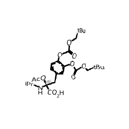 CC(=O)O[C@](Cc1ccc(OC(=O)OCC(C)(C)C)c(OC(=O)OCC(C)(C)C)c1)(NC(C)C)C(=O)O